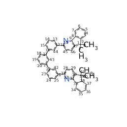 CC1(C)c2ccccc2-c2nc(-c3cccc(-c4cccc(-c5cccc(-c6ccc7c(n6)C6C=CC=CC6C7(C)C)c5)c4)c3)ccc21